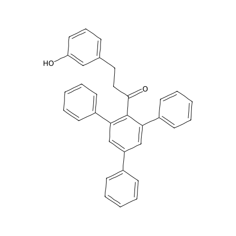 O=C(CCc1cccc(O)c1)c1c(-c2ccccc2)cc(-c2ccccc2)cc1-c1ccccc1